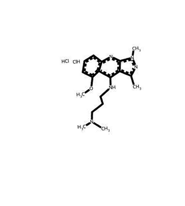 COc1cccc2nc3c(c(C)nn3C)c(NCCCN(C)C)c12.Cl.Cl